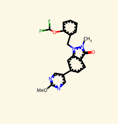 COc1ncc(-c2ccc3c(=O)n(C)n(Cc4ccccc4OC(F)F)c3c2)cn1